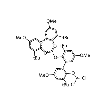 COc1cc(-c2cc(OC)cc(C(C)(C)C)c2Op2oc3c(C(C)(C)C)cc(OC)cc3c3cc(OC)cc(C(C)(C)C)c3o2)c(OP(Cl)Cl)c(C(C)(C)C)c1